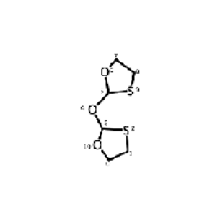 C1CSC(OC2OCCS2)O1